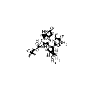 C[C@H](NC(=O)OCC(F)(F)F)C(=O)N1C[C@H]2[C@@H]([C@H]1C(=O)N[C@@H](C[C@@H]1CC3(CC3)NC1=O)C(N)=O)C2(C)C